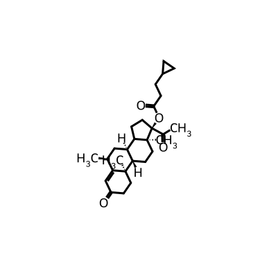 CC(=O)[C@@]1(OC(=O)CCC2CC2)CCC2[C@@H]3C[C@H](C)C4=CC(=O)CC[C@]4(C)[C@H]3CC[C@@]21C